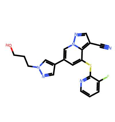 N#Cc1cnn2cc(-c3cnn(CCCO)c3)cc(Sc3ncccc3F)c12